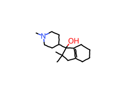 CN1CCC(C2(O)C3=C(CCCC3)CC2(C)C)CC1